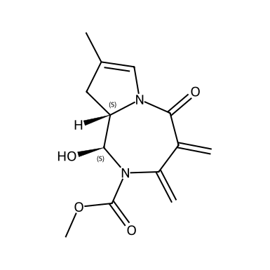 C=C1C(=C)N(C(=O)OC)[C@@H](O)[C@@H]2CC(C)=CN2C1=O